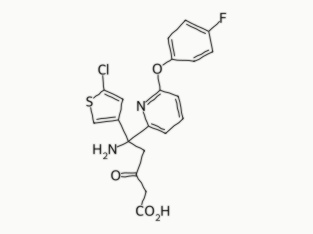 NC(CC(=O)CC(=O)O)(c1csc(Cl)c1)c1cccc(Oc2ccc(F)cc2)n1